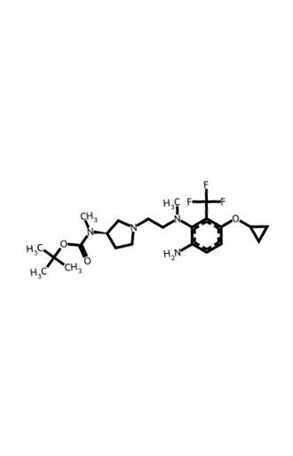 CN(CCN1CC[C@@H](N(C)C(=O)OC(C)(C)C)C1)c1c(N)ccc(OC2CC2)c1C(F)(F)F